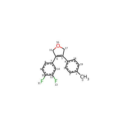 Cc1ccc(C2=C(c3ccc(F)c(F)c3)COC2)cc1